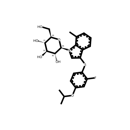 Cc1cccc2c(Sc3ccc(OC(C)C)cc3F)cn([C@@H]3O[C@H](CO)[C@@H](O)[C@H](O)[C@H]3O)c12